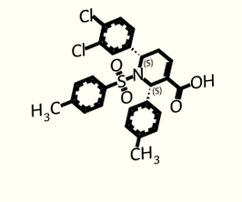 Cc1ccc([C@H]2C(C(=O)O)=CC[C@@H](c3ccc(Cl)c(Cl)c3)N2S(=O)(=O)c2ccc(C)cc2)cc1